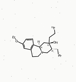 CCOc1ccc2c(c1)CCN1C[C@@H](CC(C)C)[C@@](O)(CC[19F])C[C@H]21